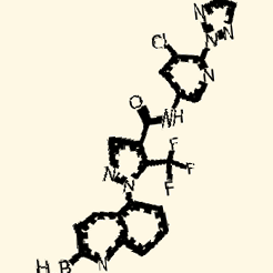 Bc1ccc2c(-n3ncc(C(=O)Nc4cnc(-n5nccn5)c(Cl)c4)c3C(F)(F)F)cccc2n1